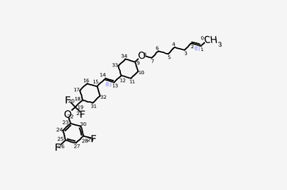 C/C=C/CCCCCOC1CCC(/C=C/C2CCC(C(F)(F)Oc3cc(F)cc(F)c3)CC2)CC1